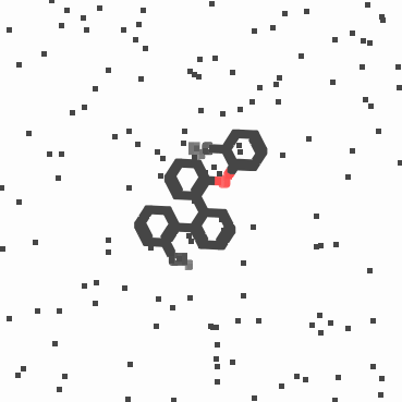 CC1=C(C2=CC=CCC2C2=C(OC3=CC=CCC3C)CCC=C2)CCC=C1